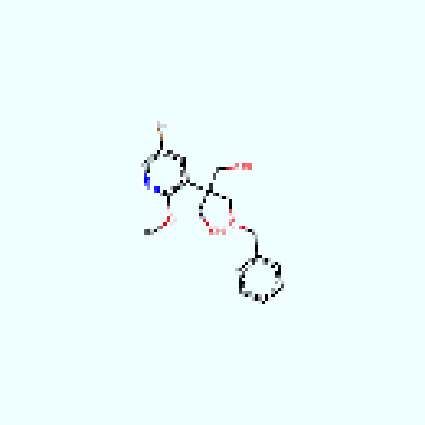 CCOc1ncc(Br)cc1C(CO)(CO)COCc1ccccc1